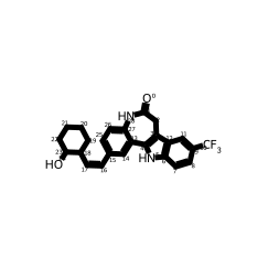 O=C1Cc2c([nH]c3ccc(C(F)(F)F)cc23)-c2cc(/C=C\C3CCCCC3O)ccc2N1